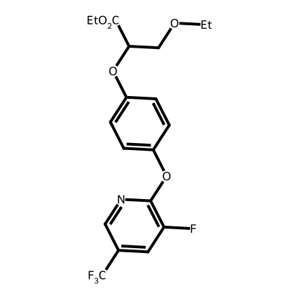 CCOCC(Oc1ccc(Oc2ncc(C(F)(F)F)cc2F)cc1)C(=O)OCC